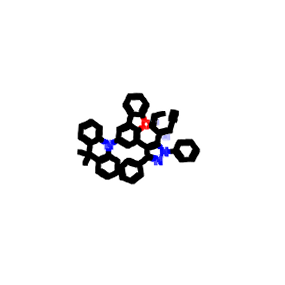 C#C/C=C(\C=C/C)c1c(-c2cc(N3C4=C(C=CCC4)C(C)(C)c4ccccc43)cc3c2oc2ccccc23)c(-c2ccccc2)nn1-c1ccccc1